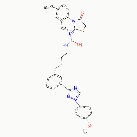 COc1ccc(N2C(=O)CS/C2=N\C(O)NCCCCc2cccc(-c3ncn(-c4ccc(OC(F)(F)F)cc4)n3)c2)c(C)c1